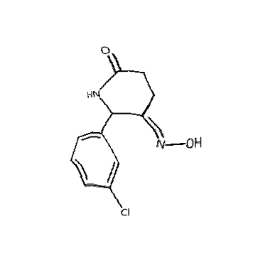 O=C1CCC(=NO)C(c2cccc(Cl)c2)N1